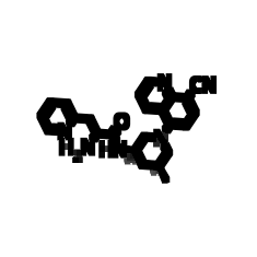 C[C@H]1C[C@@H](NC(=O)C(N)Cc2ccccn2)CN(c2ccc(C#N)c3ncccc23)C1